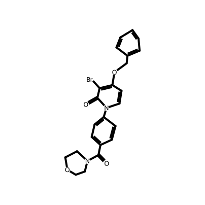 O=C(c1ccc(-n2ccc(OCc3ccccc3)c(Br)c2=O)cc1)N1CCOCC1